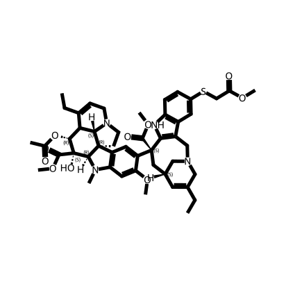 CCC1=C[C@H]2CN(C1)Cc1c([nH]c3ccc(SCC(=O)OC)cc13)[C@@](C(=O)OC)(c1cc3c(cc1OC)N(C)[C@H]1[C@@](O)(C(=O)OC)[C@H](OC(C)=O)C4C(CC)=CCN5CC[C@]31[C@H]45)C2